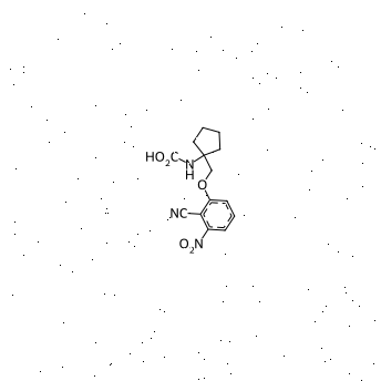 N#Cc1c(OCC2(NC(=O)O)CCCC2)cccc1[N+](=O)[O-]